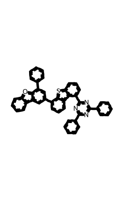 c1ccc(-c2nc(-c3ccccc3)nc(-c3cccc4sc5c(-c6cc(-c7ccccc7)c7oc8ccccc8c7c6)cccc5c34)n2)cc1